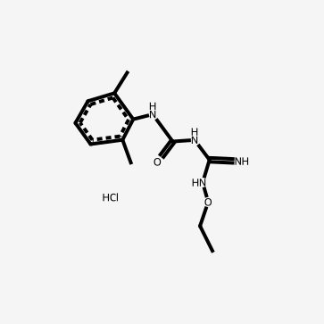 CCONC(=N)NC(=O)Nc1c(C)cccc1C.Cl